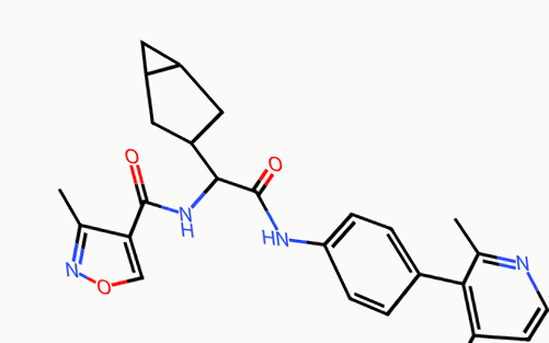 Cc1nocc1C(=O)NC(C(=O)Nc1ccc(-c2c(Cl)ccnc2C)cc1)C1CC2CC2C1